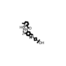 Cc1cccc(C(=O)Nc2cc3cn([C@H]4C[C@H](C(C)(C)O)C4)nc3cc2N(C)C)[n+]1O